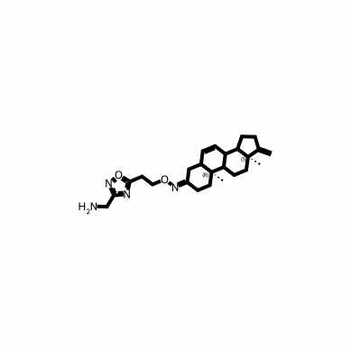 C=C1CCC2C3C=CC4CC(=NOCCc5nc(CN)no5)CC[C@]4(C)C3CC[C@]12C